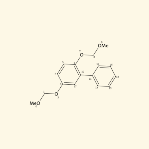 COCOc1ccc(OCOC)c(-c2ccccc2)c1